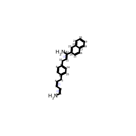 N/C=C\C=C/Cc1ccc(C/C=C(\N)c2ccc3ccccc3c2)cc1